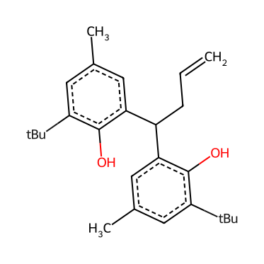 C=CCC(c1cc(C)cc(C(C)(C)C)c1O)c1cc(C)cc(C(C)(C)C)c1O